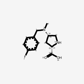 CN(Cc1ccc(F)cc1)[C@@H]1CN[C@H](C(=O)O)C1